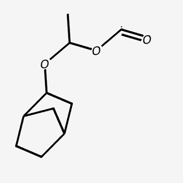 CC(O[C]=O)OC1CC2CCC1C2